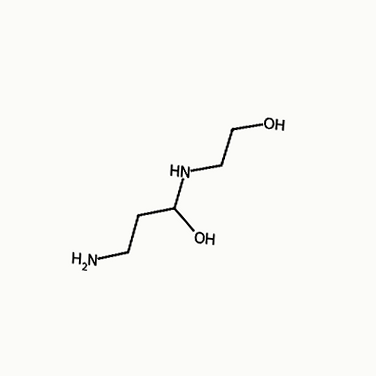 NCCC(O)NCCO